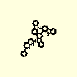 c1ccc(-c2ccc3ccc(-n4c5ccccc5c5cc(-c6c(-n7c8ccccc8c8ccccc87)ccc7c6sc6ccccc67)ccc54)nc3n2)cc1